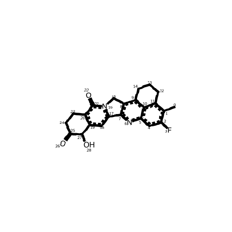 Cc1c(F)cc2nc3c(c4c2c1CCC4)Cn1c-3cc2c(c1=O)CCC(=O)C2O